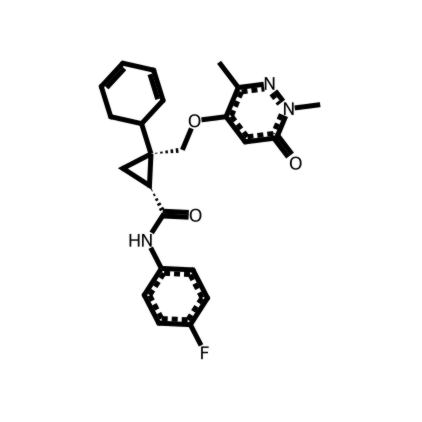 Cc1nn(C)c(=O)cc1OC[C@@]1(C2C=CC=CC2)C[C@H]1C(=O)Nc1ccc(F)cc1